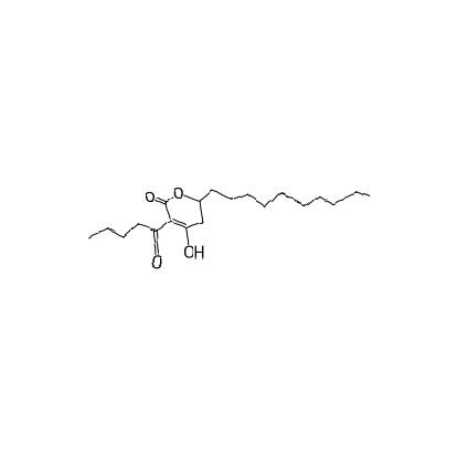 CCCCCCCCCCC1CC(O)=C(C(=O)CCCC)C(=O)O1